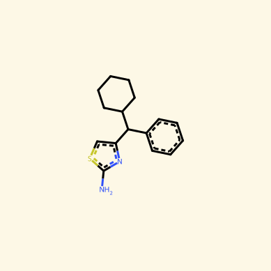 Nc1nc(C(c2ccccc2)C2CCCCC2)cs1